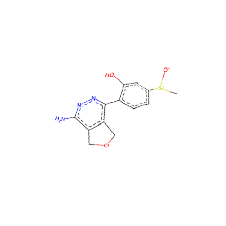 C[S+]([O-])c1ccc(-c2nnc(N)c3c2COC3)c(O)c1